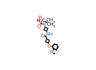 CC(C)(C)N(C(=O)O)C1CC(NC(=O)C2CC(Oc3cccc4scnc34)C2)C1